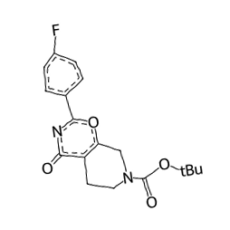 CC(C)(C)OC(=O)N1CCc2c(oc(-c3ccc(F)cc3)nc2=O)C1